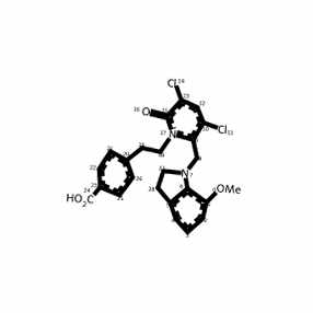 COc1cccc2c1N(Cc1c(Cl)cc(Cl)c(=O)n1CCc1ccc(C(=O)O)cc1)CC2